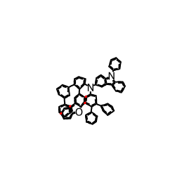 c1ccc(-c2cccc(-c3cccc(N(c4ccc(-c5ccccc5)c(-c5ccccc5)c4)c4ccc5c(c4)c4ccccc4n5-c4ccccc4)c3-c3ccc4oc5ccccc5c4c3)c2)cc1